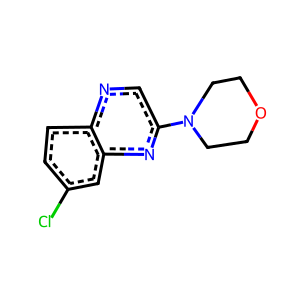 Clc1ccc2ncc(N3CCOCC3)nc2c1